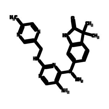 Cc1cnc(CNc2ncc(N)c(N(N)c3ccc4c(c3)NC(=O)C4(C)C)n2)cn1